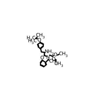 CCOC(CN(C(=O)C(N)Cc1ccc(OC(C)(C)C)cc1)C(C)c1ccccc1)OCC